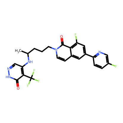 CC(CCCn1ccc2cc(-c3ccc(F)cn3)cc(F)c2c1=O)Nc1cn[nH]c(=O)c1C(F)(F)F